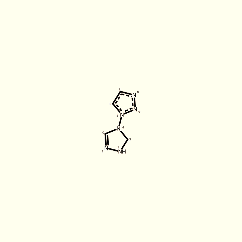 C1=NNCN1n1ccnn1